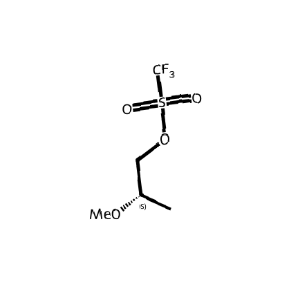 CO[C@@H](C)COS(=O)(=O)C(F)(F)F